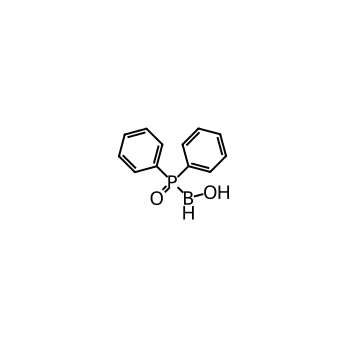 O=P(BO)(c1ccccc1)c1ccccc1